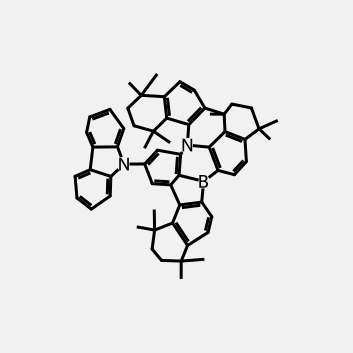 CC1(C)CCC(C)(C)c2c1ccc1c2-c2cc(-n3c4ccccc4c4ccccc43)cc3c2B1c1ccc2c4c1N3c1c(ccc3c1C(C)(C)CCC3(C)C)C4(C)CCC2(C)C